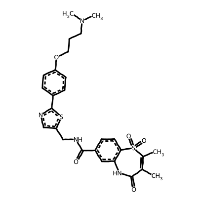 CC1=C(C)S(=O)(=O)c2ccc(C(=O)NCc3cnc(-c4ccc(OCCCN(C)C)cc4)s3)cc2NC1=O